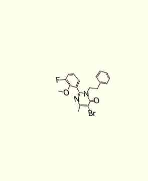 COc1c(F)cccc1-c1nc(C)c(Br)c(=O)n1CCc1ccccc1